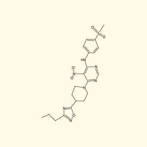 CCCc1noc(C2CCN(c3ncnc(Nc4ccc(S(C)(=O)=O)cc4)c3[N+](=O)[O-])CC2)n1